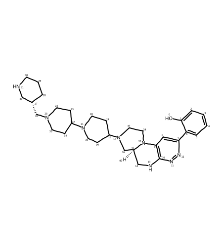 Oc1ccccc1-c1cc2c(nn1)NC[C@H]1CN(C3CCN(C4CCN(C[C@H]5CCCNC5)CC4)CC3)CCN21